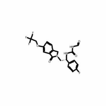 O=CNC(=O)N[C@@H](CN1Cc2ccc(OCC(F)(F)F)cc2C1=O)c1ccc(F)cc1